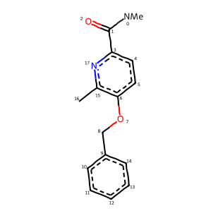 CNC(=O)c1ccc(OCc2ccccc2)c(C)n1